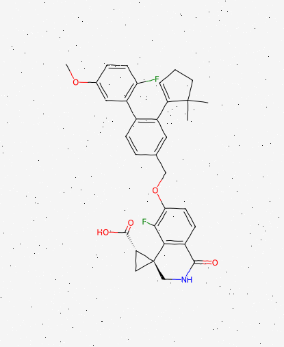 COc1ccc(F)c(-c2ccc(COc3ccc4c(c3F)[C@]3(CNC4=O)C[C@@H]3C(=O)O)cc2C2=CCCC2(C)C)c1